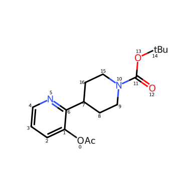 CC(=O)Oc1cccnc1C1CCN(C(=O)OC(C)(C)C)CC1